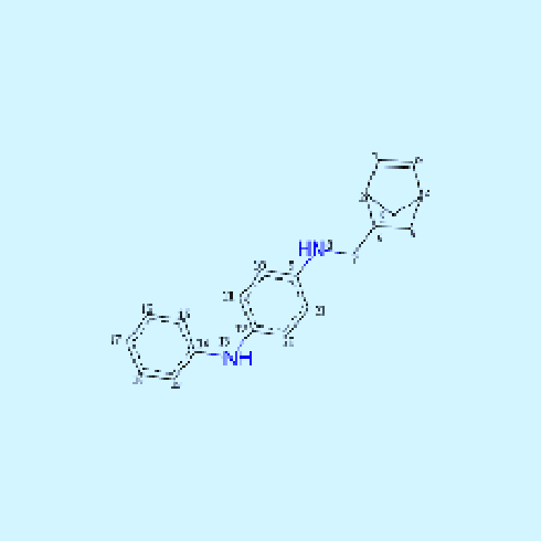 C1=CC2CC1C=C2CNc1ccc(Nc2ccccc2)cc1